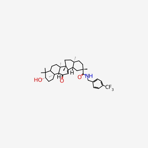 CC1(C)C2CC[C@]3(C)[C@H](C(=O)C=C4[C@H]5C[C@@](C)(C(=O)NCc6ccc(C(F)(F)F)cc6)CC[C@]5(C)CC[C@]43C)[C@@]2(C)CC[C@@H]1O